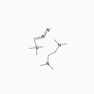 CN(C)CCN(C)C.C[Si](C)(C)C=[N+]=[N-]